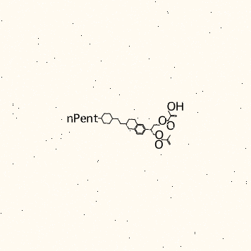 C=C(C)C(=O)OCC(CCOC(=O)C(=C)CO)c1ccc2c(c1)CCC(CCC1CCC(CCCCC)CC1)C2